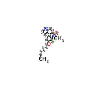 CC#CCCCCCOc1cccc(N(C)C(=O)c2ccc3ncccc3c2)c1F